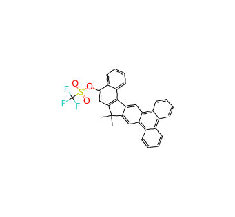 CC1(C)c2cc3c4ccccc4c4ccccc4c3cc2-c2c1cc(OS(=O)(=O)C(F)(F)F)c1ccccc21